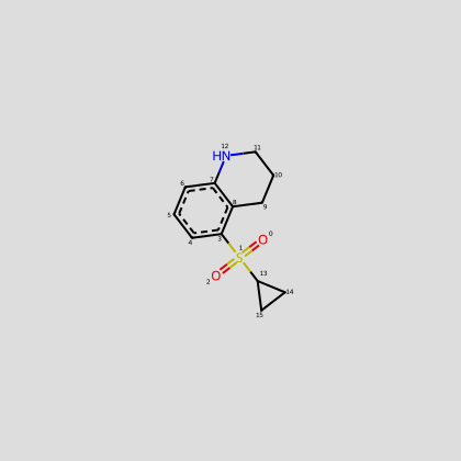 O=S(=O)(c1cccc2c1CCCN2)C1CC1